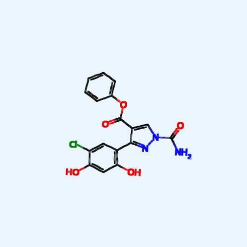 NC(=O)n1cc(C(=O)Oc2ccccc2)c(-c2cc(Cl)c(O)cc2O)n1